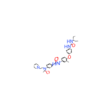 CCC(CC)NC(=O)Nc1ccc(Oc2ccc(NC(=O)c3ccc(N(CCN4CCCCC4)C(C)=O)cc3)cc2C)cc1